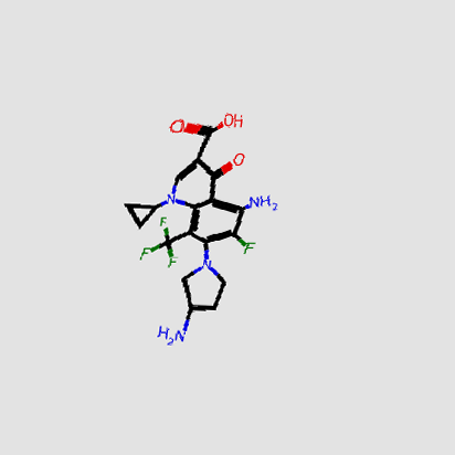 Nc1c(F)c(N2CCC(N)C2)c(C(F)(F)F)c2c1c(=O)c(C(=O)O)cn2C1CC1